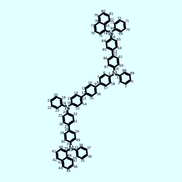 c1ccc(N(c2ccc(-c3ccc(-c4ccc(N(c5ccccc5)c5ccc(-c6ccc(N(c7ccccc7)c7cccc8ccccc78)cc6)cc5)cc4)cc3)cc2)c2ccc(-c3ccc(N(c4ccccc4)c4cccc5ccccc45)cc3)cc2)cc1